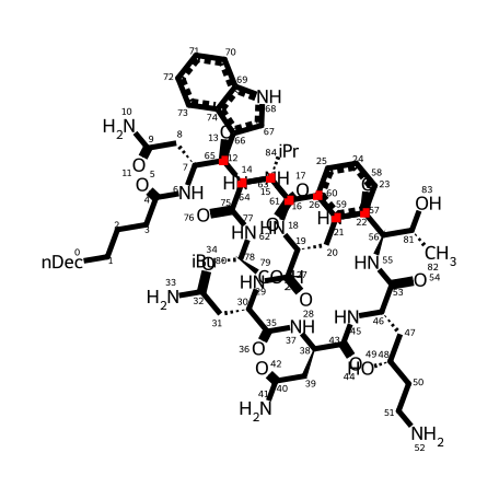 CCCCCCCCCCCCCC(=O)N[C@H](CC(N)=O)C(=O)N[C@@H](C(=O)N[C@H](Cc1ccccc1)C(=O)N[C@@H](CC(N)=O)C(=O)N[C@H](CC(N)=O)C(=O)N[C@@H](C[C@@H](O)CCN)C(=O)N[C@@H](C(=O)NCC(=O)N[C@H](Cc1c[nH]c2ccccc12)C(=O)N[C@@H](C(=O)O)[C@@H](C)CC)[C@@H](C)O)C(C)C